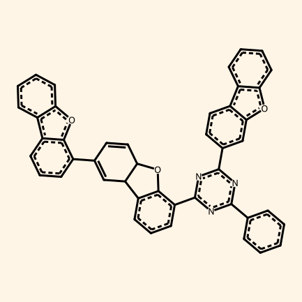 C1=CC2Oc3c(-c4nc(-c5ccccc5)nc(-c5ccc6c(c5)oc5ccccc56)n4)cccc3C2C=C1c1cccc2c1oc1ccccc12